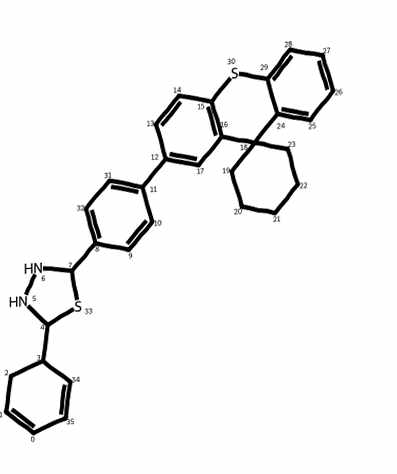 C1=CCC(C2NNC(c3ccc(-c4ccc5c(c4)C4(CCCCC4)c4ccccc4S5)cc3)S2)C=C1